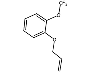 C=CCOc1ccccc1OC(F)(F)F